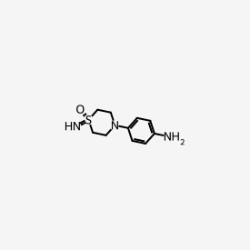 N=S1(=O)CCN(c2ccc(N)cc2)CC1